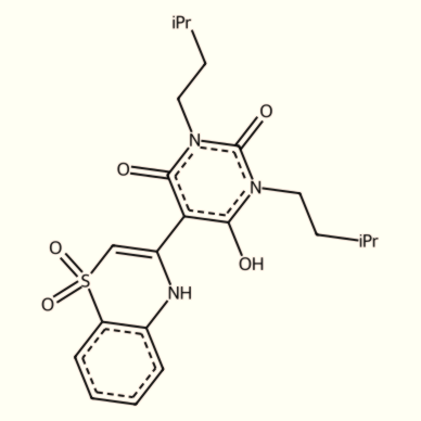 CC(C)CCn1c(O)c(C2=CS(=O)(=O)c3ccccc3N2)c(=O)n(CCC(C)C)c1=O